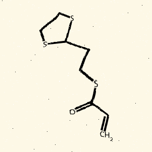 C=CC(=O)SCCC1SCCS1